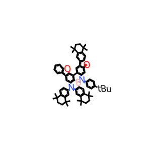 CC(C)(C)c1ccc(N2B3c4cc5c(cc4N(c4ccc6c(c4)C(C)(C)CCC6(C)C)c4cc6c(oc7ccccc76)c(c43)-c3cc4c(cc32)oc2cc3c(cc24)C(C)(C)CCC3(C)C)C(C)(C)CCC5(C)C)cc1